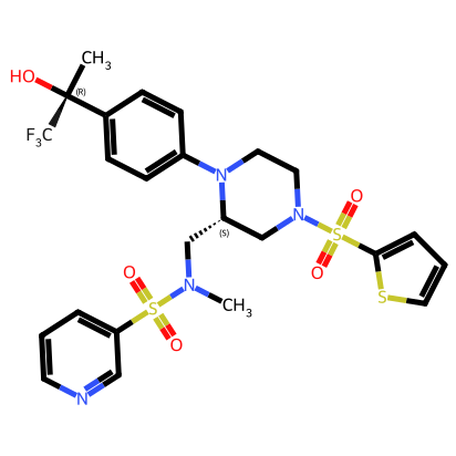 CN(C[C@H]1CN(S(=O)(=O)c2cccs2)CCN1c1ccc([C@@](C)(O)C(F)(F)F)cc1)S(=O)(=O)c1cccnc1